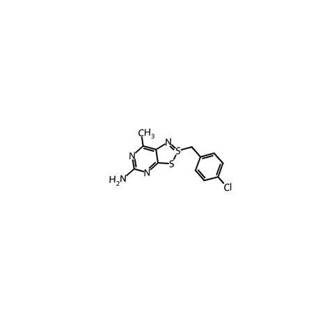 Cc1nc(N)nc2c1N=S(Cc1ccc(Cl)cc1)S2